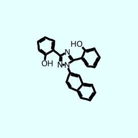 Oc1ccccc1-c1nc(-c2ccccc2O)n(-c2ccc3ccccc3c2)n1